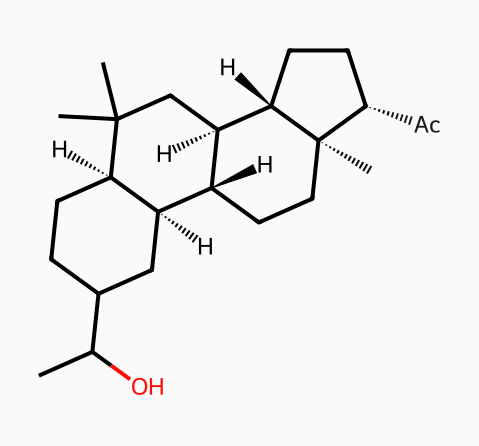 CC(=O)[C@H]1CC[C@H]2[C@@H]3CC(C)(C)[C@@H]4CCC(C(C)O)C[C@@H]4[C@H]3CC[C@]12C